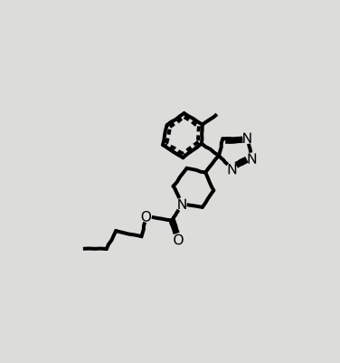 CCCCOC(=O)N1CCC(C2(c3ccccc3C)C=NN=N2)CC1